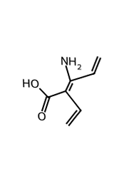 C=C/C(N)=C(\C=C)C(=O)O